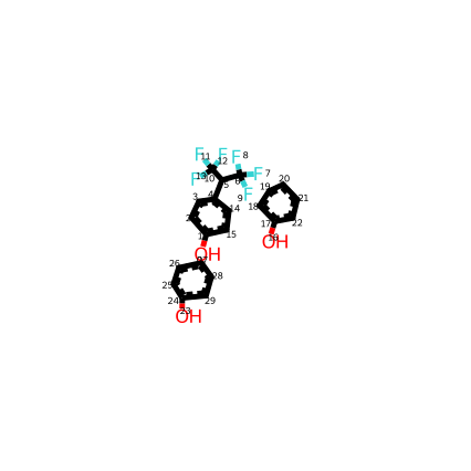 Oc1ccc(C(C(F)(F)F)C(F)(F)F)cc1.Oc1ccccc1.Oc1ccccc1